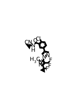 Cn1nc(C2(F)CC2)c(C(F)F)c1-n1cc(-c2ccc(Cl)c(C(=O)NC3(C#N)CC3)c2)cn1